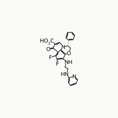 O=C(O)c1cn2c3c(c(NCCNc4ccccn4)c(F)c(F)c3c1=O)OC[C@H]2c1ccccc1